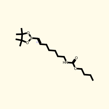 CCCCOC(=O)NCCCCC/C=C/B1OC(C)(C)C(C)(C)O1